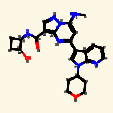 CNc1cc(-c2cn(C3CCOCC3)c3ncccc23)nc2c(C(=O)N[C@@H]3CC[C@H]3O)cnn12